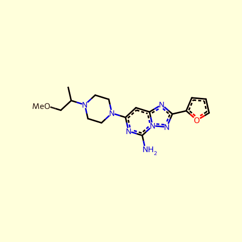 COCC(C)N1CCN(c2cc3nc(-c4ccco4)nn3c(N)n2)CC1